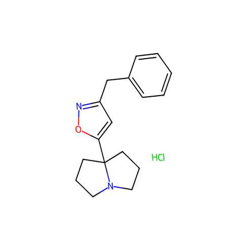 Cl.c1ccc(Cc2cc(C34CCCN3CCC4)on2)cc1